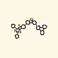 c1ccc(-c2nc(-c3ccccc3)c3sc4cc(-c5ccc6oc7ccc(-c8ccc9c%10ccccc%10c%10ccccc%10c9c8)cc7c6c5)ccc4c3n2)cc1